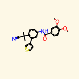 COc1ccc(C(=O)Nc2ccc(C(C)(C)C#N)c(-c3ccsc3)c2)cc1OC